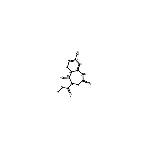 COC(=O)C1CC(=O)NC2=CC(Cl)=CCC2C1=O